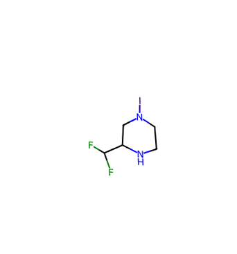 FC(F)C1CN(I)CCN1